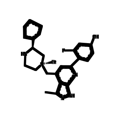 CC[N@+]1(Cc2cc(-c3ccc(O)cc3F)nc3[nH]nc(C)c23)CCN[C@@H](c2ccccc2)C1